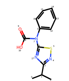 CC(C)c1nsc(N(C(=O)O)c2ccccc2)n1